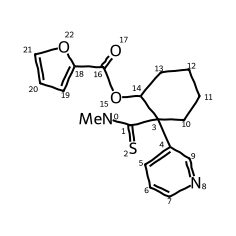 CNC(=S)C1(c2cccnc2)CCCCC1OC(=O)c1ccco1